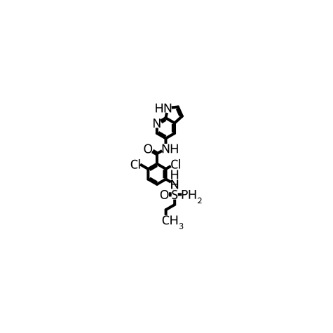 CCC[SH](=O)(P)Nc1ccc(Cl)c(C(=O)Nc2cnc3[nH]ccc3c2)c1Cl